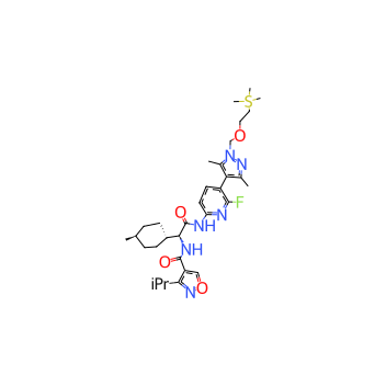 Cc1nn(COCCS(C)(C)C)c(C)c1-c1ccc(NC(=O)[C@@H](NC(=O)c2conc2C(C)C)[C@H]2CC[C@H](C)CC2)nc1F